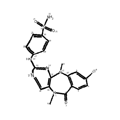 CN1C(=O)c2ccc(Cl)cc2N(C)c2nc(Nc3ccc(S(N)(=O)=O)cc3)ncc21